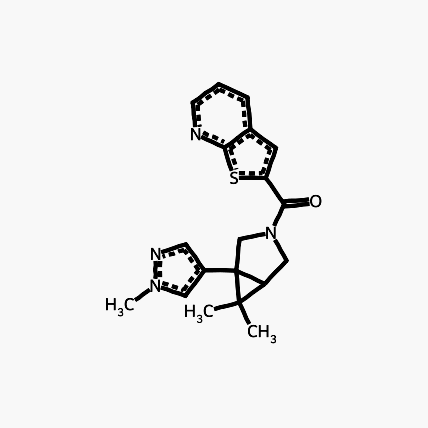 Cn1cc(C23CN(C(=O)c4cc5cccnc5s4)CC2C3(C)C)cn1